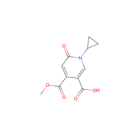 COC(=O)c1cc(=O)n(C2CC2)cc1C(=O)O